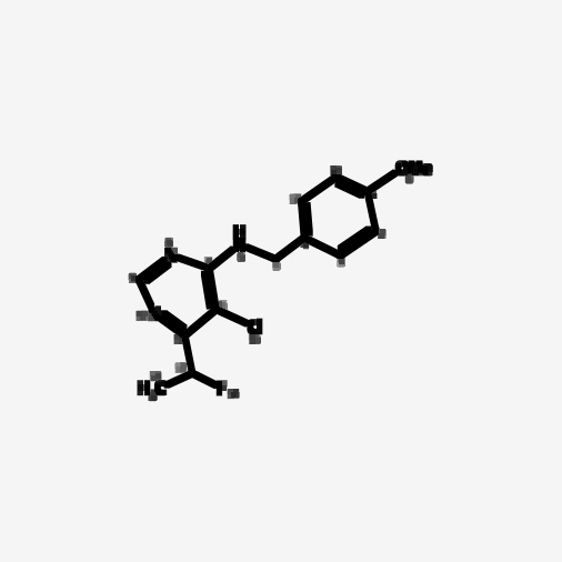 COc1ccc(CNc2ncnc(C(C)F)c2Cl)cc1